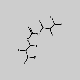 O=C(OC(F)C(F)C(F)F)OC(F)C(F)C(F)F